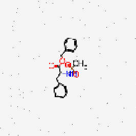 CS(=O)(=O)NC(Cc1ccccc1)C(=O)OCc1ccccc1